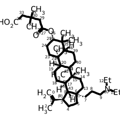 C=C(C)[C@@H]1CC[C@]2(CCCN(CC)CC)CC[C@]3(C)[C@H](CC[C@@H]4[C@@]5(C)CC[C@H](OC(=O)CC(C)(C)CC(=O)O)C(C)(C)[C@@H]5CC[C@]43C)[C@@H]12